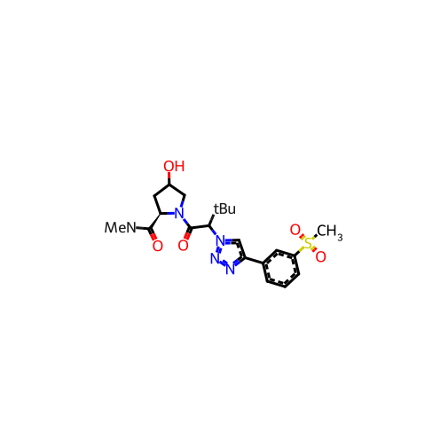 CNC(=O)[C@H]1CC(O)CN1C(=O)C(n1cc(-c2cccc(S(C)(=O)=O)c2)nn1)C(C)(C)C